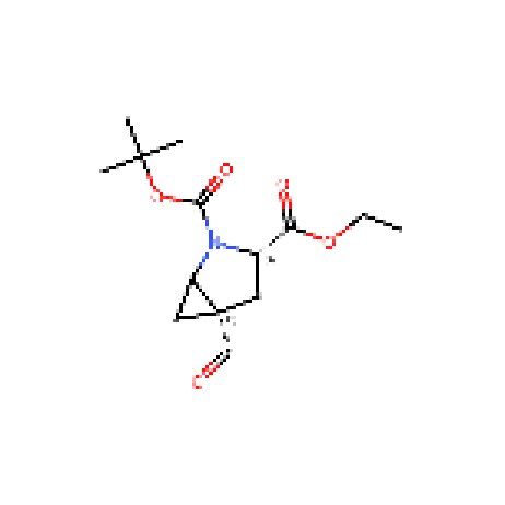 CCOC(=O)[C@@H]1C[C@@]2(C=O)CC2N1C(=O)OC(C)(C)C